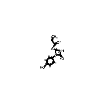 C=CC(=O)OC1NC(=O)N1c1ccc(O)cc1